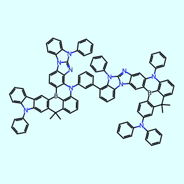 CC1(C)c2cc(N(c3ccccc3)c3ccccc3)ccc2B2c3cc4c(cc3N(c3ccccc3)c3cccc1c32)nc1n(-c2ccccc2)c2c(-c3cccc(N5c6cccc7c6B(c6cc8c9ccccc9n(-c9ccccc9)c8cc6C7(C)C)c6ccc7c(nc8n(-c9ccccc9)c9ccccc9n78)c65)c3)cccc2n41